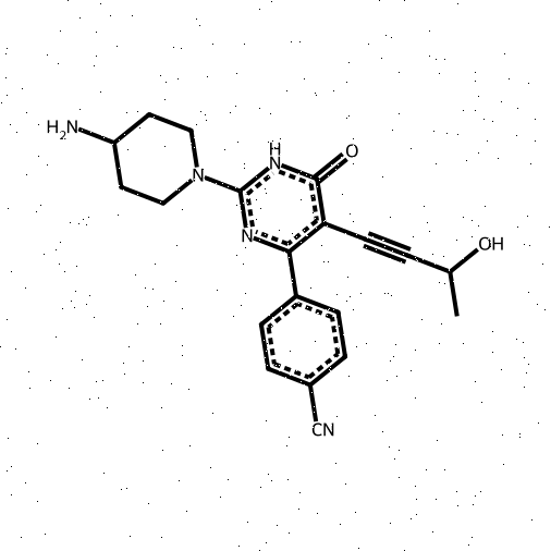 CC(O)C#Cc1c(-c2ccc(C#N)cc2)nc(N2CCC(N)CC2)[nH]c1=O